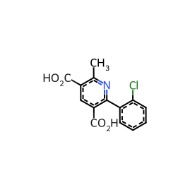 Cc1nc(-c2ccccc2Cl)c(C(=O)O)cc1C(=O)O